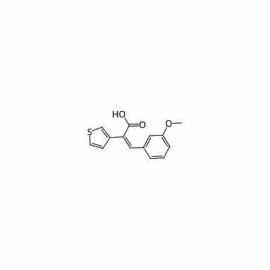 COc1cccc(C=C(C(=O)O)c2ccsc2)c1